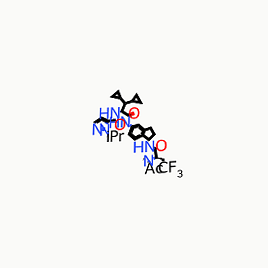 CC(=O)N(C)[C@H](CC(F)(F)F)C(=O)N[C@@H]1CCc2cc(NC(=O)[C@@H](NC(=O)c3ccnn3C(C)C)C(C3CC3)C3CC3)ccc21